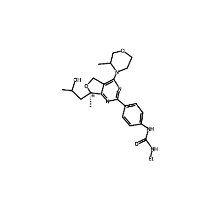 CCNC(=O)Nc1ccc(-c2nc(N3CCOCC3C)c3c(n2)[C@@](C)(CC(C)O)OC3)cc1